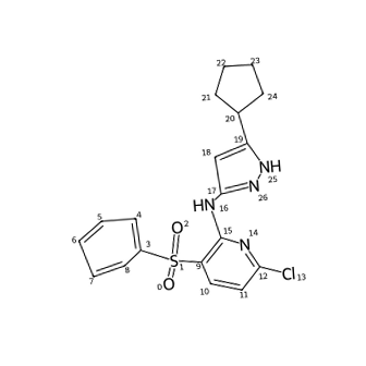 O=S(=O)(c1ccccc1)c1ccc(Cl)nc1Nc1cc(C2CCCC2)[nH]n1